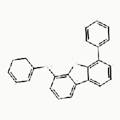 C1=CCCC(Nc2cccc3c2oc2c(-c4ccccc4)cccc23)=C1